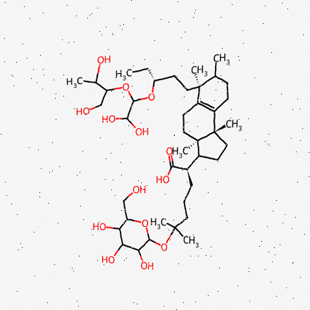 CC[C@H](CC[C@]1(C)C2=C(CCC1C)[C@]1(C)CCC([C@@H](CCCC(C)(C)OC3OC(CO)C(O)C(O)C3O)C(=O)O)[C@@]1(C)CC2)OC(OC(CO)C(C)O)C(O)O